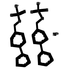 O=S([O-])(=S)OCc1ccc(-c2ccccc2)cc1.O=S([O-])(=S)OCc1ccc(-c2ccccc2)cc1.[Ni+2]